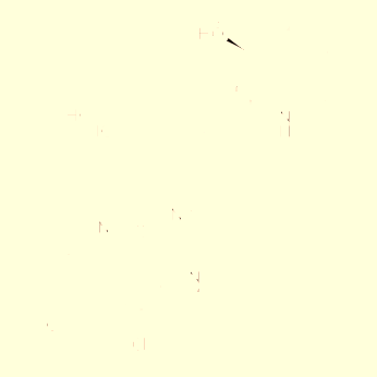 Cl.Cl.O[C@H]1CCCN[C@@H]1/C=C/Cn1cnc2c(Cl)c(Cl)cnc21